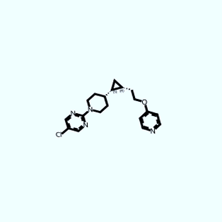 Clc1cnc(N2CCC([C@@H]3C[C@@H]3CCOc3ccncc3)CC2)nc1